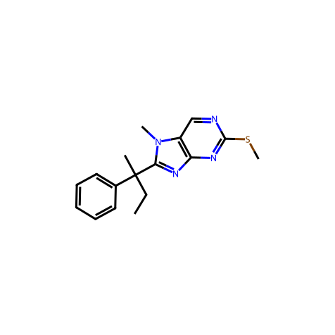 CCC(C)(c1ccccc1)c1nc2nc(SC)ncc2n1C